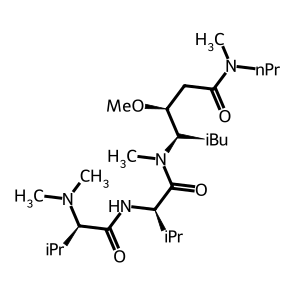 CCCN(C)C(=O)C[C@H](OC)[C@@H]([C@H](C)CC)N(C)C(=O)[C@H](NC(=O)[C@@H](C(C)C)N(C)C)C(C)C